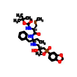 CC[C@](Cc1ccccc1)(NC[C@@](C)(O)CS(=O)(=O)c1ccc2c(c1)OCO2)NC(=O)[C@@H](CSC)NC(=O)OC(C)(C)C